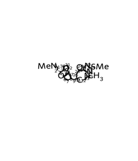 CNCC[C@@H](Oc1ccc(CC2CCCN(C)c3nc(SC)ncc3C(=O)CC2)cc1)c1cccs1